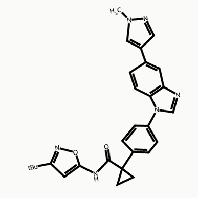 Cn1cc(-c2ccc3c(c2)ncn3-c2ccc(C3(C(=O)Nc4cc(C(C)(C)C)no4)CC3)cc2)cn1